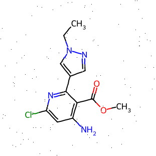 CCn1cc(-c2nc(Cl)cc(N)c2C(=O)OC)cn1